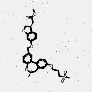 COC(=O)C[C@@H]1COc2cc(OCc3ccc4c(c3)-c3ccc(OCCCS(C)(=O)=O)cc3C[C@@H](C)O4)ccc21